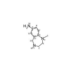 CN1CCN(C)c2ccc(N)cc2C1